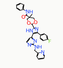 CC1(C(=O)Nc2ccccc2)COC(c2nc(-c3ccc(F)cc3)c(-c3ccnc(NCc4ccccn4)n3)[nH]2)OC1